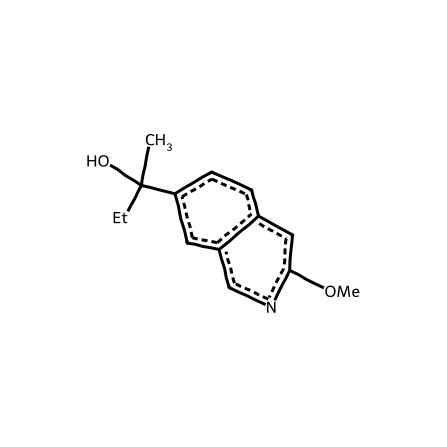 CCC(C)(O)c1ccc2cc(OC)ncc2c1